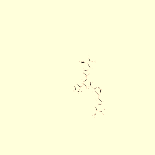 N#C/C(=C/c1ccc(-c2ccnc(-c3cc(-c4ccc(/C=C(\C#N)C(=O)O)s4)cc(-c4ccccn4)n3)c2)s1)C(=O)O